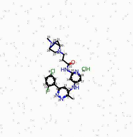 Cc1nnc(-c2cc(Cl)ccc2F)cc1Nc1ccnc(NC(=O)CCN2CC3CC2CN3C)c1.Cl